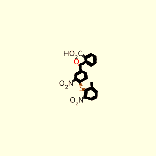 Cc1cccc([N+](=O)[O-])c1Sc1ccc(C(=O)c2ccccc2C(=O)O)cc1[N+](=O)[O-]